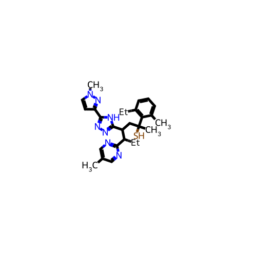 CCc1cccc(C)c1C(C)(S)CC(c1nnc(-c2ccn(C)n2)[nH]1)C(CC)c1ncc(C)cn1